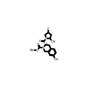 CC(C)(C)OC(=O)N1Cc2cc(O)ccc2C[C@H]1C(=O)N1CC(F)CC1C#N